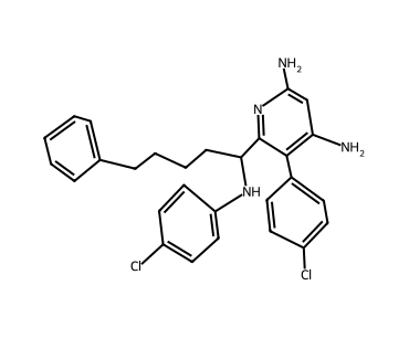 Nc1cc(N)c(-c2ccc(Cl)cc2)c(C(CCCCc2ccccc2)Nc2ccc(Cl)cc2)n1